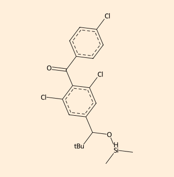 C[SiH](C)OC(c1cc(Cl)c(C(=O)c2ccc(Cl)cc2)c(Cl)c1)C(C)(C)C